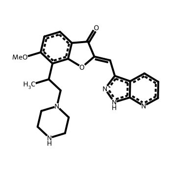 COc1ccc2c(c1C(C)CN1CCNCC1)OC(=Cc1n[nH]c3ncccc13)C2=O